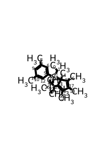 CC[Si](CC)(c1cc(C)cc(C)c1)C1(C)C(C)=C(C)C(C)=[C]1[Ti]([CH3])([CH3])[CH3]